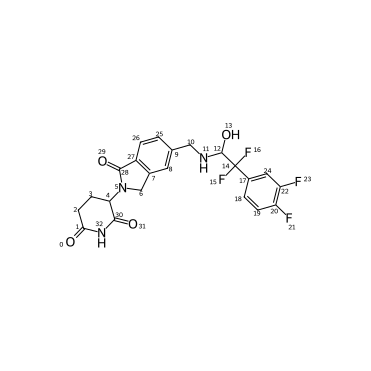 O=C1CCC(N2Cc3cc(CNC(O)C(F)(F)c4ccc(F)c(F)c4)ccc3C2=O)C(=O)N1